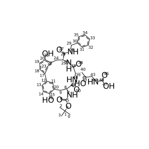 CC(C)(C)OC(=O)N[C@H]1Cc2cc(ccc2O)-c2ccc(O)c(c2)C[C@@H](C(=O)NCc2ccccc2)NC(=O)[C@H](C[C@@H](O)CNC(=O)O)NC1=O